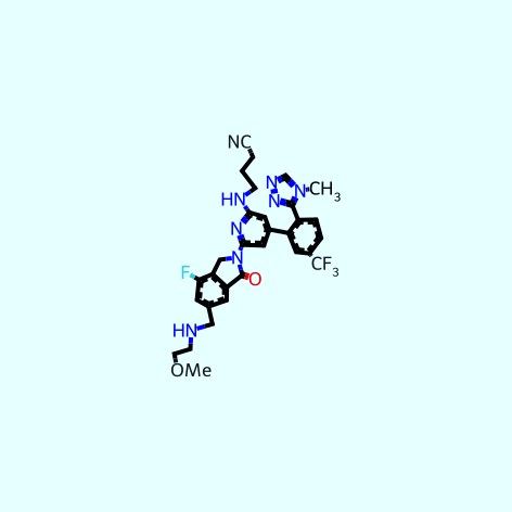 COCCNCc1cc(F)c2c(c1)C(=O)N(c1cc(-c3cc(C(F)(F)F)ccc3-c3nncn3C)cc(NCCCC#N)n1)C2